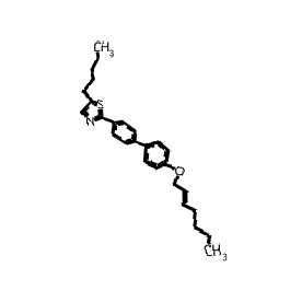 CCCCC=CCOc1ccc(-c2ccc(-c3ncc(CCCCC)s3)cc2)cc1